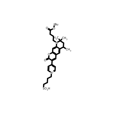 CC1CC(C)(C)N(CCCC(=O)OC(C)(C)C)c2cc3oc(=O)c(-c4cc[n+](CCCCS(=O)(=O)O)cc4)cc3cc21